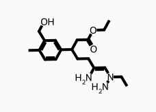 CCOC(=O)CC(CC/C(N)=C/N(N)CC)c1ccc(C)c(CO)c1